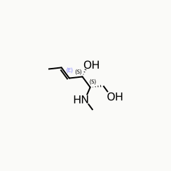 C/C=C/[C@H](O)[C@H](CO)NC